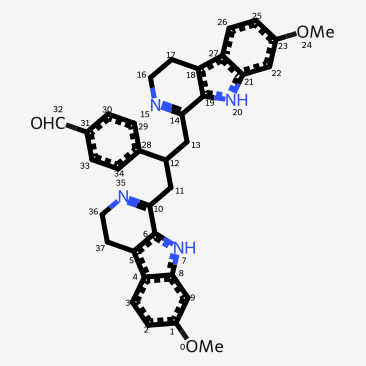 COc1ccc2c3c([nH]c2c1)C(CC(CC1=NCCc2c1[nH]c1cc(OC)ccc21)c1ccc(C=O)cc1)=NCC3